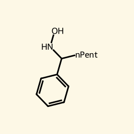 CCCCCC(NO)c1ccccc1